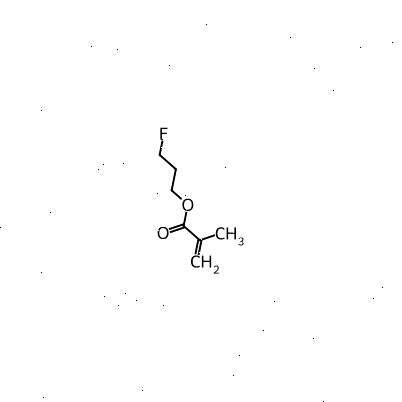 C=C(C)C(=O)OCCCF